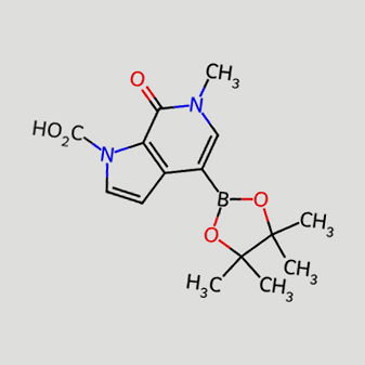 Cn1cc(B2OC(C)(C)C(C)(C)O2)c2ccn(C(=O)O)c2c1=O